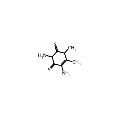 CC1=C(N)C(=S)C(N)C(=S)C1C